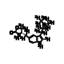 [2H]c1c(C([2H])([2H])C([2H])([2H])N(C([2H])([2H])[2H])C([2H])([2H])[2H])c2cc(C([2H])([2H])[C@@H]3N([2H])C(=O)OC3([2H])[2H])ccc2n1[2H]